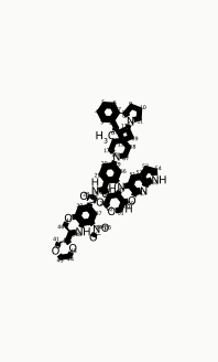 CCc1ccccc1[C@@H]1CCCN1C1CC2(CCN(c3ccc(C(=O)NS(=O)(=O)c4cc5c(c([N+](=O)[O-])c4)N[C@@H]([C@H]4COCCO4)CO5)c(N4c5cc6cc[nH]c6nc5O[C@@H]5COCC[C@H]54)c3)CC2)C1